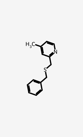 Cc1ccnc(CSCc2ccccc2)c1